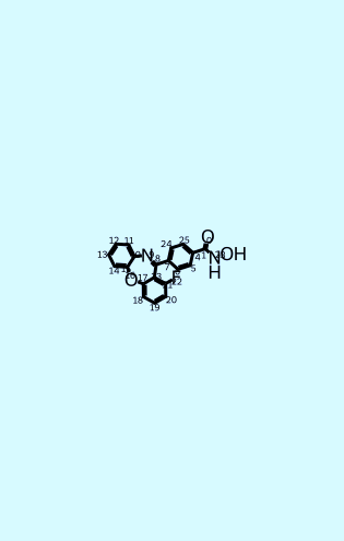 O=C(NO)c1ccc(C2=Nc3ccccc3Oc3cccc(F)c32)cc1